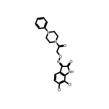 O=C1Nc2c(ccc(Cl)c2Cl)C1=NOCC(=O)N1CCN(c2ccccc2)CC1